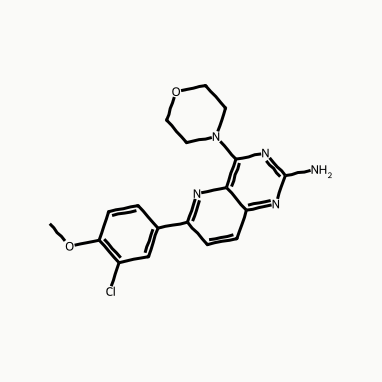 COc1ccc(-c2ccc3nc(N)nc(N4CCOCC4)c3n2)cc1Cl